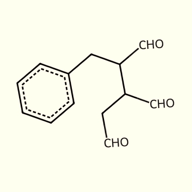 O=CCC(C=O)C(C=O)Cc1ccccc1